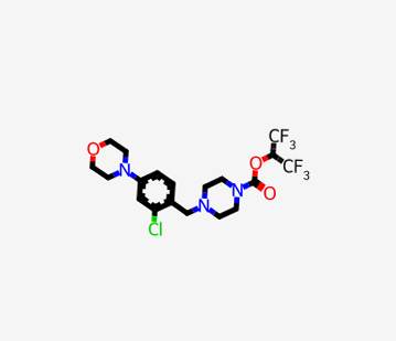 O=C(OC(C(F)(F)F)C(F)(F)F)N1CCN(Cc2ccc(N3CCOCC3)cc2Cl)CC1